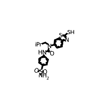 CC(C)CN(C(=O)Nc1ccc(S(N)(=O)=O)cc1)c1ccc2nc(S)sc2c1